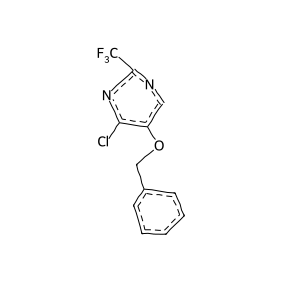 FC(F)(F)c1ncc(OCc2ccccc2)c(Cl)n1